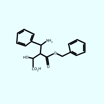 NC(c1ccccc1)C(C(=O)OCc1ccccc1)C(O)C(=O)O